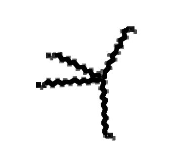 CCCCCCCCCCCCC[N+](CCCCCCCCCCCC)(CCCCCCCCCCCCC)CCCCCCCCCCCCC